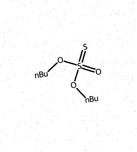 CCCCOS(=O)(=S)OCCCC